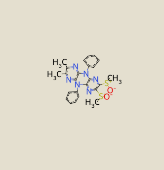 Cc1nc2c(nc1C)N(c1ccccc1)c1nc([S+](C)[O-])c([S+](C)[O-])nc1N2c1ccccc1